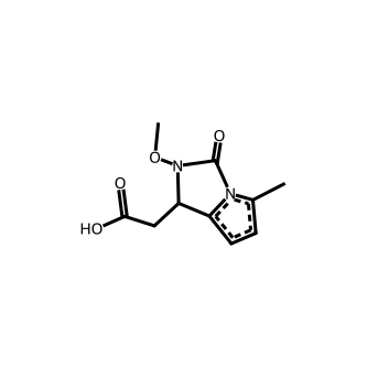 CON1C(=O)n2c(C)ccc2C1CC(=O)O